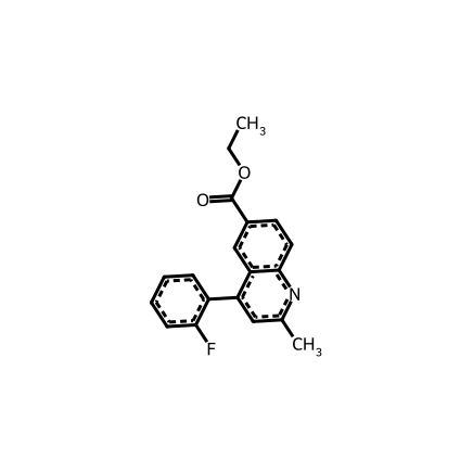 CCOC(=O)c1ccc2nc(C)cc(-c3ccccc3F)c2c1